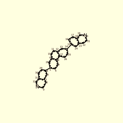 c1cc2cc(-c3ccc4c(ccc5cc(-c6ccc7cnccc7c6)ccc54)c3)ccc2cn1